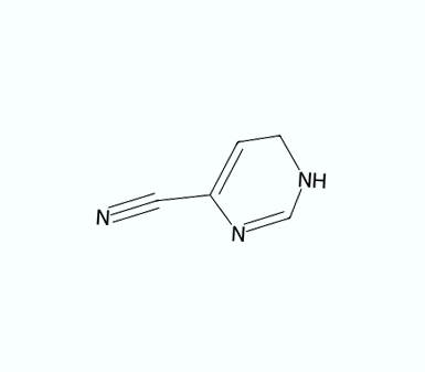 N#CC1=CCNC=N1